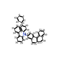 c1ccc(-c2ccc(N(c3ccc4c(ccc5ccc6ccccc6c54)c3)c3ccccc3-c3ccccc3)cc2)cc1